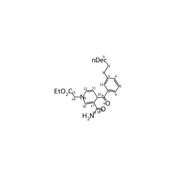 CCCCCCCCCCCCc1cccc(C(=O)C2C=CN(CC(=O)OCC)C=C2C(N)=O)c1